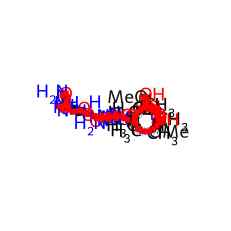 CO[C@H]1C[C@@H]2CC[C@@H](C)[C@@](O)(O2)C(=O)C(=O)N2CCCC[C@H]2C(=O)O[C@H]([C@H](C)C[C@@H]2CC[C@@H](O)[C@H](OC)C2)C[C@@H](O)[C@H](C)/C=C(\C)[C@@H](O)[C@@H](OC)C(=NOCC(=O)NCc2cnc(N3CCN(c4ncc(C(=O)NCCOCCC(=O)N5CCc6cc(Cn7nc(-c8ccc9oc(N)nc9c8)c8c(N)ncnc87)ccc6C5)c(N)n4)CC3)nc2)[C@H](C)C[C@H](C)/C=C/C=C/C=C/1C